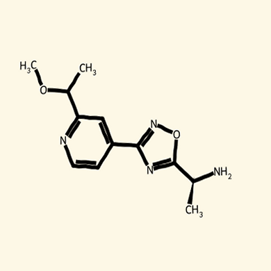 COC(C)c1cc(-c2noc([C@H](C)N)n2)ccn1